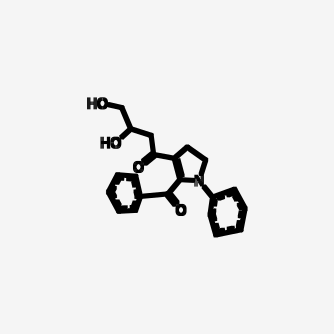 O=C(CC(O)CO)C1=C(C(=O)c2ccccc2)N(c2ccccc2)CC1